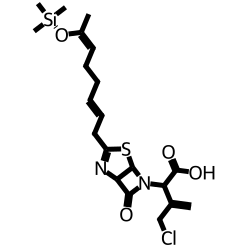 C=C(CCl)C(C(=O)O)N1C(=O)C2N=C(CC=CCCC=C(C)O[Si](C)(C)C)SC21